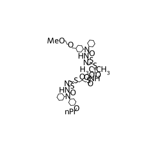 CCCOC1CCC(N(C(=O)Nc2ncc(SCC(=O)CS(=O)(=O)NOC(=O)C(C)(C)Sc3cnc(NC(=O)N(C4CCCCC4)C4CCC(COCCOC)CC4)s3)s2)C2CCCCC2)CC1